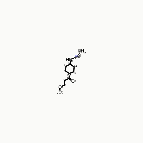 CCOCCC(=O)N1CCC(N/B=N/P)CC1